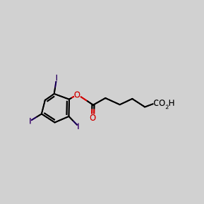 O=C(O)CCCCC(=O)Oc1c(I)cc(I)cc1I